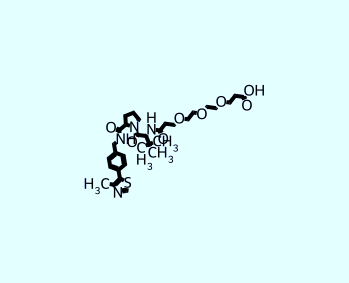 Cc1ncsc1-c1ccc(CNC(=O)C2CCCN2C(=O)C(NC(=O)CCOCCOCCOCCC(=O)O)C(C)(C)C)cc1